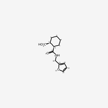 O=C(O)[C@H]1CCCC[C@H]1C(=O)NCc1ccco1